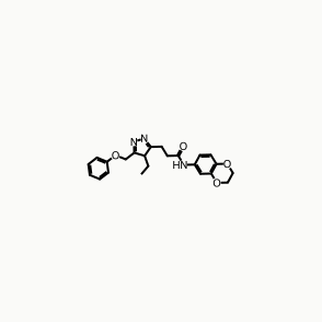 CCC1C(CCC(=O)Nc2ccc3c(c2)OCCO3)=NN=C1COc1ccccc1